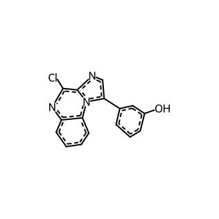 Oc1cccc(-c2cnc3c(Cl)nc4ccccc4n23)c1